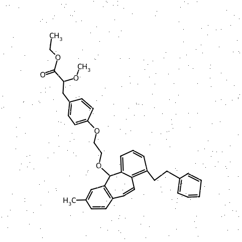 CCOC(=O)C(Cc1ccc(OCCOC2c3cc(C)ccc3C=Cc3c(CCc4ccccc4)cccc32)cc1)OC